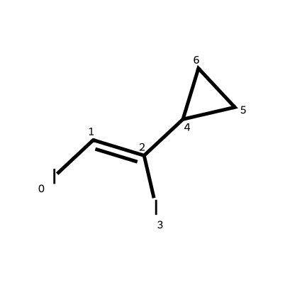 I/C=C(\I)C1CC1